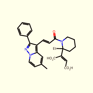 CCC1(/C(=C/C(=O)O)C(=O)O)CCCCN1C(=O)C=Cc1c(-c2ccccc2)nn2ccc(C)cc12